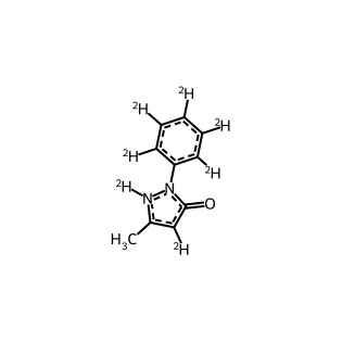 [2H]c1c([2H])c([2H])c(-n2c(=O)c([2H])c(C)n2[2H])c([2H])c1[2H]